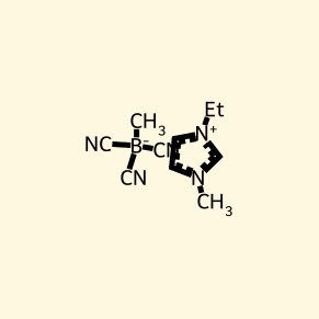 CC[n+]1ccn(C)c1.C[B-](C#N)(C#N)C#N